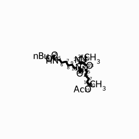 CCCCOC(=O)NCCCCCCn1c(=O)n(CCCC[C@@H](C)OC(C)=O)c(=O)c2c1ncn2C